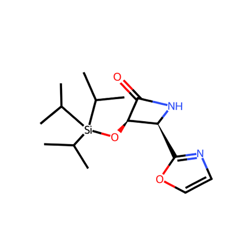 CC(C)[Si](O[C@H]1C(=O)N[C@H]1c1ncco1)(C(C)C)C(C)C